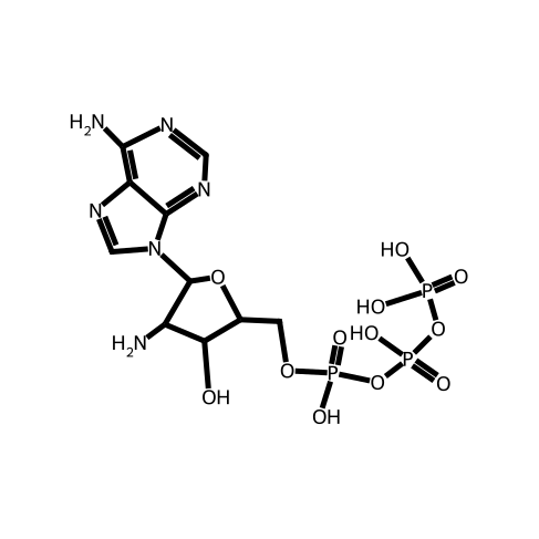 Nc1ncnc2c1ncn2C1OC(COP(=O)(O)OP(=O)(O)OP(=O)(O)O)C(O)C1N